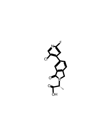 C[C@H](C(=O)O)N1Cc2ccc(-c3cc(F)ncc3Cl)cc2C1=O